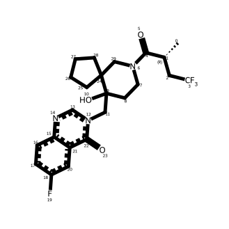 C[C@H](CC(F)(F)F)C(=O)N1CCC(O)(Cn2cnc3ccc(F)cc3c2=O)C2(CCCC2)C1